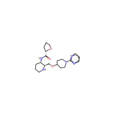 O=C(N[C@@H]1CCCN[C@@H]1COC1CCN(c2ncccn2)CC1)[C@@H]1CCCO1